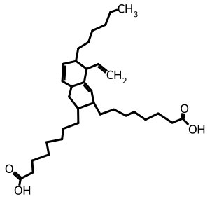 C=CC1C2=CC(CCCCCCCC(=O)O)C(CCCCCCCC(=O)O)CC2C=CC1CCCCCC